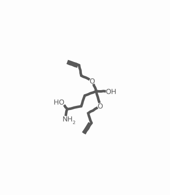 C=CCOC(O)(CCC(N)O)OCC=C